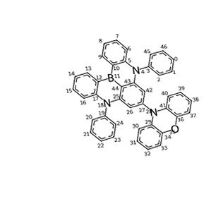 c1ccc(N2c3ccccc3B3c4ccccc4N(c4ccccc4)c4cc(N5c6ccccc6Oc6ccccc65)cc2c43)cc1